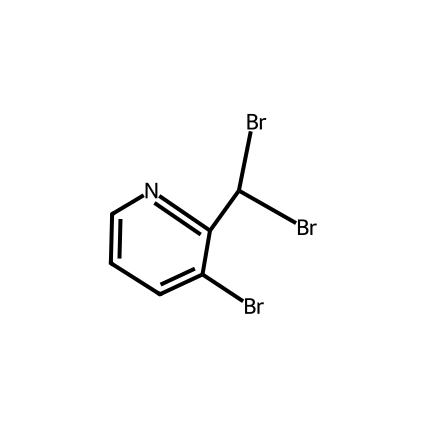 Brc1cccnc1C(Br)Br